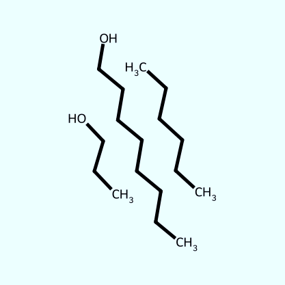 CCCCCC.CCCCCCCCO.CCCO